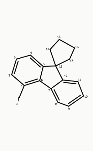 Ic1cccc2c1-c1ccccc1C21CCCC1